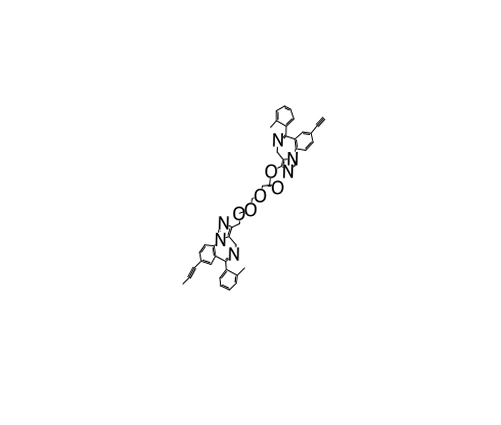 C#Cc1ccc2c(c1)C(c1ccccc1C)=NCc1c(OC(=O)COCOOCc3ncn4c3CN=C(c3ccccc3C)c3cc(C#CC)ccc3-4)ncn1-2